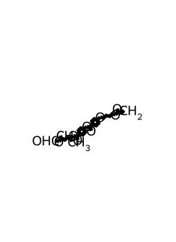 C=CC(=O)OCCCCOc1ccc(C(=O)Oc2ccc(C(=O)O/C(C)=C/C=C(\C)OC=O)cc2)cc1